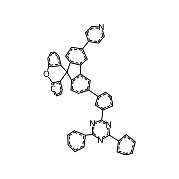 c1ccc(-c2nc(-c3ccccc3)nc(-c3cccc(-c4ccc5c(c4)-c4cc(-c6ccncc6)ccc4C54c5ccccc5Oc5ccccc54)c3)n2)cc1